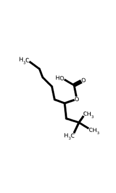 CCCCCC(CC(C)(C)C)OC(=O)O